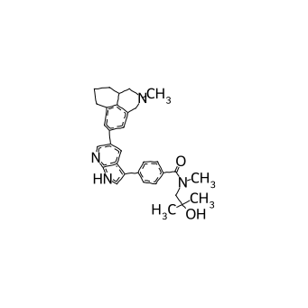 CN1Cc2cc(-c3cnc4[nH]cc(-c5ccc(C(=O)N(C)CC(C)(C)O)cc5)c4c3)cc3c2C(CCC3)C1